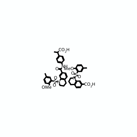 COc1ccc(C)cc1S(=O)(=O)N1CCCc2ccc(C(=O)Nc3ccc(C(C)C(=O)O)cc3)cc21.COc1ccc(C)cc1S(=O)(=O)N1CCCc2ccc(C(=O)O)cc21